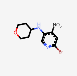 O=[N+]([O-])c1cc(Br)ncc1NC1CCOCC1